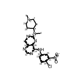 CN1CCC(N(C)c2ncc3ncnc(Nc4ccc(Cl)c([N+](=O)[O-])c4)c3n2)CC1